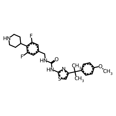 COc1ccc(C(C)(C)c2csc(NC(=O)NCc3cc(F)c(C4CCNCC4)c(F)c3)n2)cc1